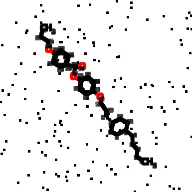 CCCCC[C@H]1CC[C@H](C=CCOc2ccc(OC(=O)c3ccc(OCCC)cc3)cc2)CC1